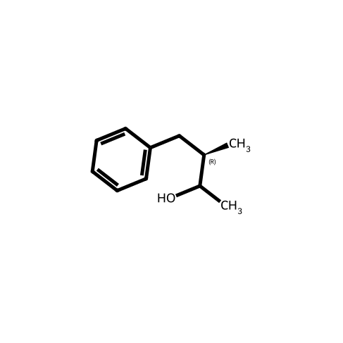 CC(O)[C@H](C)Cc1ccccc1